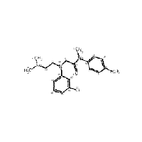 Cc1ccc(N(C)C(=O)CN(CCN(C)C)c2cccc(Cl)c2)cc1